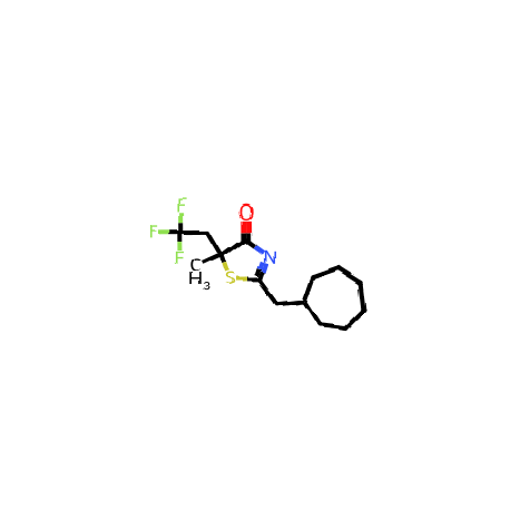 CC1(CC(F)(F)F)SC(CC2CCCCCC2)=NC1=O